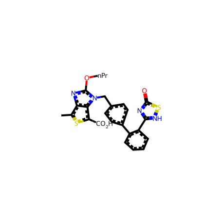 CCCOc1nc2c(C)sc(C(=O)O)c2n1Cc1ccc(-c2ccccc2-c2nc(=O)s[nH]2)cc1